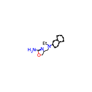 CCN(CC1COC(N)=N1)c1ccc2ccccc2c1